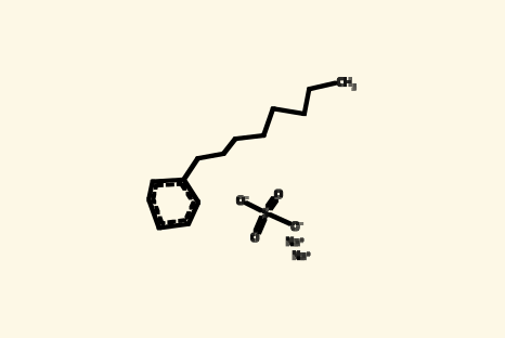 CCCCCCCCc1ccccc1.O=S(=O)([O-])[O-].[Na+].[Na+]